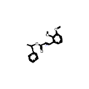 COc1cccc(/C=C/C(=O)OC(C)c2ccccc2)c1OC